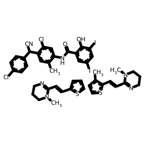 CN1CCCN=C1/C=C/c1cccs1.Cc1cc(C(C#N)c2ccc(Cl)cc2)c(Cl)cc1NC(=O)c1cc(I)cc(I)c1O.Cc1ccsc1/C=C/C1=NCCCN1C